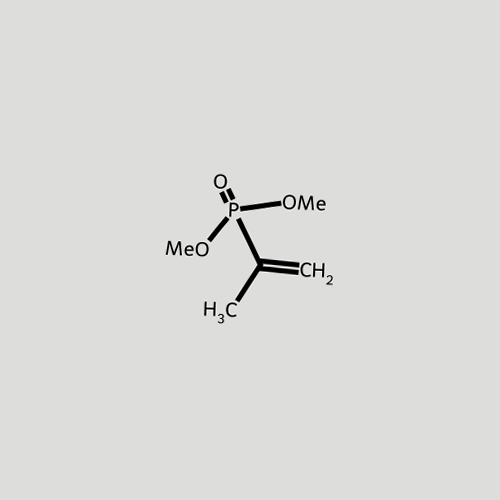 C=C(C)P(=O)(OC)OC